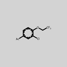 CC(=O)c1ccc(OCC(F)(F)F)c(Cl)c1